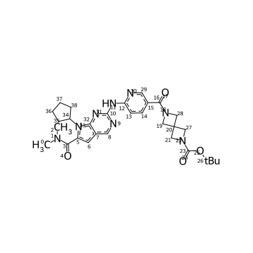 CN(C)C(=O)c1cc2cnc(Nc3ccc(C(=O)N4CC5(CN(C(=O)OC(C)(C)C)C5)C4)cn3)nc2n1C1CCCC1